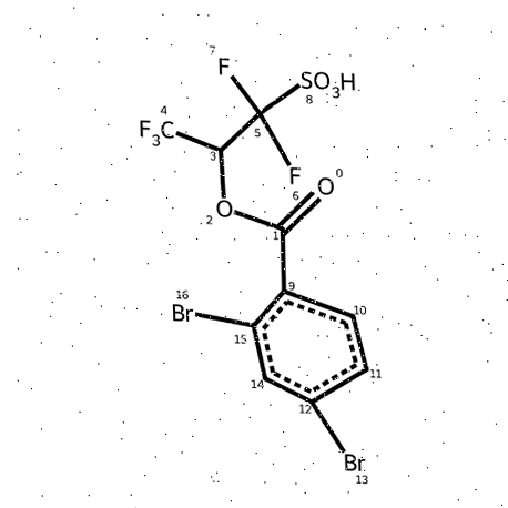 O=C(OC(C(F)(F)F)C(F)(F)S(=O)(=O)O)c1ccc(Br)cc1Br